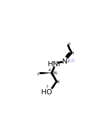 C/C=N\N[C@H](C)CO